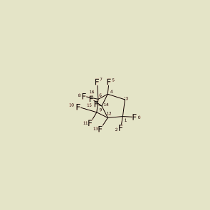 FC1(F)[CH]C2(F)C(F)(F)C(F)(F)C1(F)C2(F)F